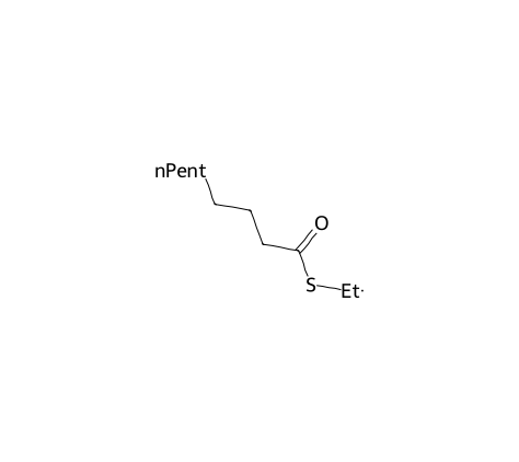 C[CH]SC(=O)CCCCCCCC